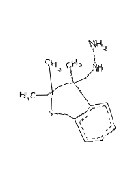 CC1(C)Sc2ccccc2C1(C)NN